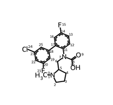 CN1CCCC1CN(C(=O)O)c1ccc(F)cc1-c1cc(F)cc(Cl)c1